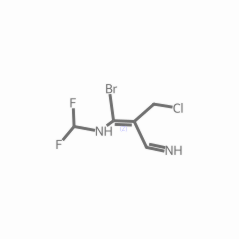 N=C/C(CCl)=C(/Br)NC(F)F